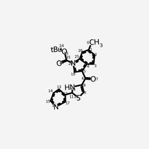 Cc1ccc2c(C(=O)C3=CSC(c4cccnc4)N3)cn(C(=O)OC(C)(C)C)c2c1